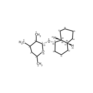 CC1CC(C)C(C)[C@H](O[C@H]2CCC[C@H]3CCCC[C@H]32)O1